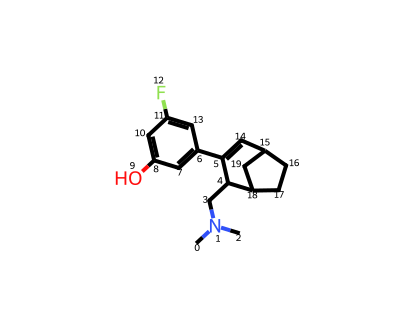 CN(C)CC1C(c2cc(O)cc(F)c2)=CC2CCC1C2